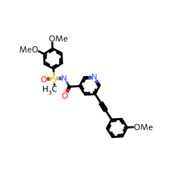 COc1cccc(C#Cc2cncc(C(=O)N=S(C)(=O)c3ccc(OC)c(OC)c3)c2)c1